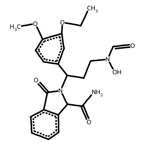 CCOc1cc(C(CCN(O)C=O)N2C(=O)c3[c]cccc3C2C(N)=O)ccc1OC